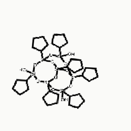 O[Si]1(C2CCCC2)O[Si]2(C3CCCC3)O[Si](O)(C3CCCC3)O[Si]3(C4CCCC4)O[Si](O)(C4CCCC4)O[Si](C4CCCC4)(O1)O[Si](C1CCCC1)(O2)O3